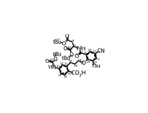 CC(C)(C)OC(=O)CC(NC(=O)c1cc(C#N)cc(O)c1OCCCc1cc(NC(=O)OC(C)(C)C)ccc1C(=O)O)C(=O)OC(C)(C)C